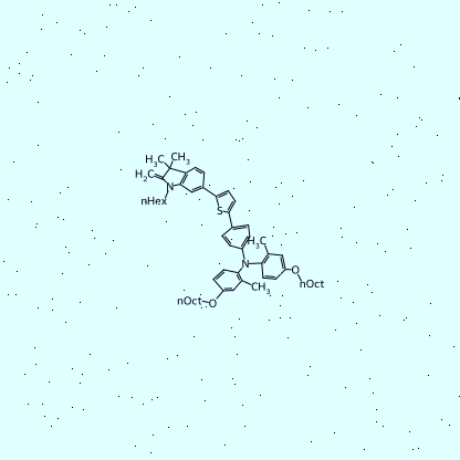 C=C1N(CCCCCC)c2cc(-c3ccc(-c4ccc(N(c5ccc(OCCCCCCCC)cc5C)c5ccc(OCCCCCCCC)cc5C)cc4)s3)ccc2C1(C)C